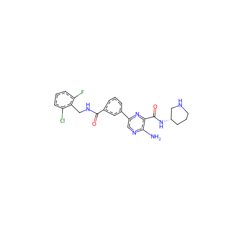 Nc1ncc(-c2cccc(C(=O)NCc3c(F)cccc3Cl)c2)nc1C(=O)N[C@H]1CCCNC1